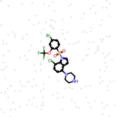 O=S(=O)(c1ccc(Br)cc1OC(F)(F)F)n1ccc2c(N3CCNCC3)ccc(Cl)c21